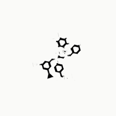 CC(C)(C)c1cc(CN(C(=O)CN(Cc2ccc(Cl)cc2)S(=O)(=O)c2c(F)c(F)c(F)c(F)c2F)c2ccc(C(N)=O)cc2)cc(C2CC2)c1